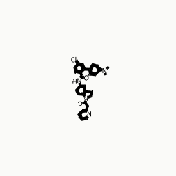 CN(C)c1ccc(-c2cc(Cl)ccc2C(=O)Nc2ccc3c(c2)CCN3C(=O)Cc2ccccn2)cc1